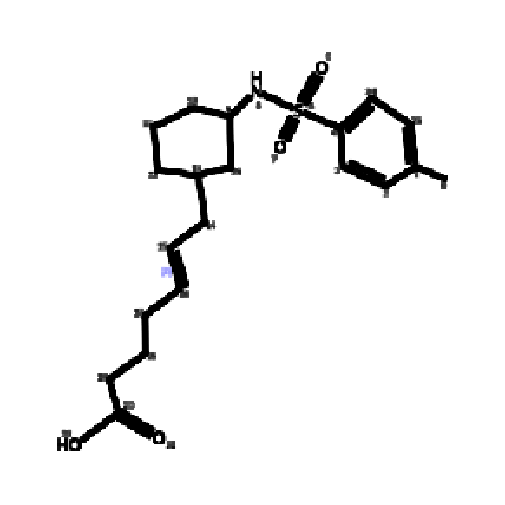 Cc1ccc(S(=O)(=O)NC2CCCC(C/C=C/CCCC(=O)O)C2)cc1